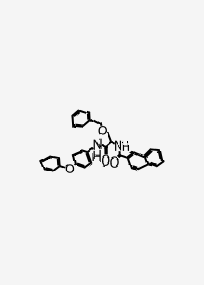 O=C(NC(COCc1ccccc1)C(=O)Nc1ccc(Oc2ccccc2)cc1)c1ccc2ccccc2c1